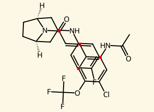 CC(=O)Nc1cc(Cl)c(OC(F)(F)F)cc1C=CC(=O)N1[C@@H]2CC[C@H]1CC(Nc1ccc(F)cc1)C2